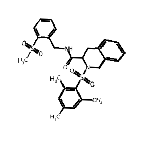 Cc1cc(C)c(S(=O)(=O)N2Cc3ccccc3CC2C(=O)NCc2ccccc2S(C)(=O)=O)c(C)c1